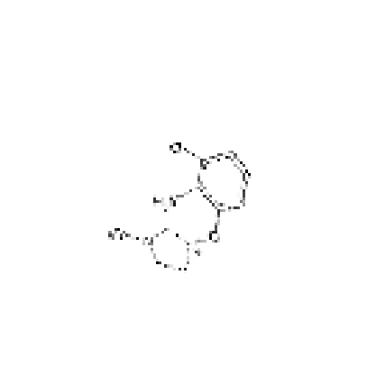 CC(C)N1CC[C@@H](Oc2cccc(Cl)c2N)C1